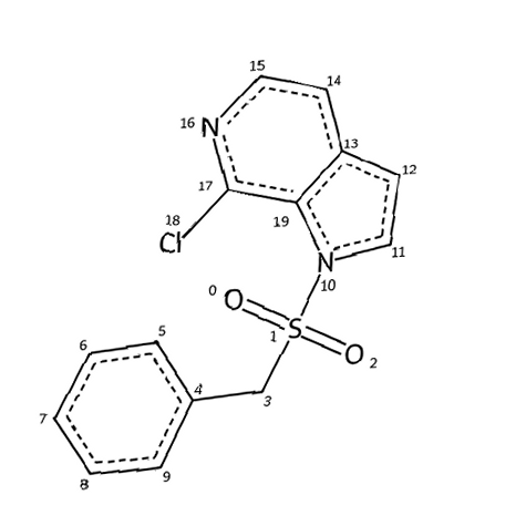 O=S(=O)(Cc1ccccc1)n1ccc2ccnc(Cl)c21